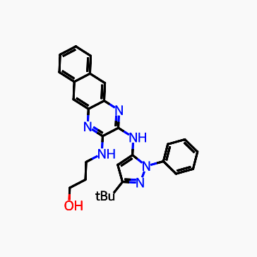 CC(C)(C)c1cc(Nc2nc3cc4ccccc4cc3nc2NCCCO)n(-c2ccccc2)n1